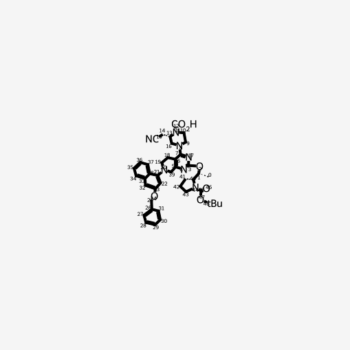 C[C@@H](Oc1nc2c(c(N3CCN(C(=O)O)[C@@H](CC#N)C3)n1)CCN(c1cc(OCc3ccccc3)cc3ccccc13)C2)[C@H]1CCCN1C(=O)OC(C)(C)C